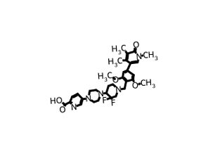 COc1cc(-c2cn(C)c(=O)c(C)c2C)cc(OC)c1CN1CCC(N2CCN(c3ccc(C(=O)O)nc3)CC2)C(F)(F)C1